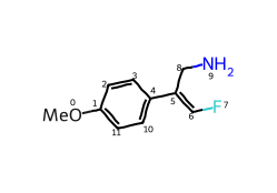 COc1ccc(C(=CF)CN)cc1